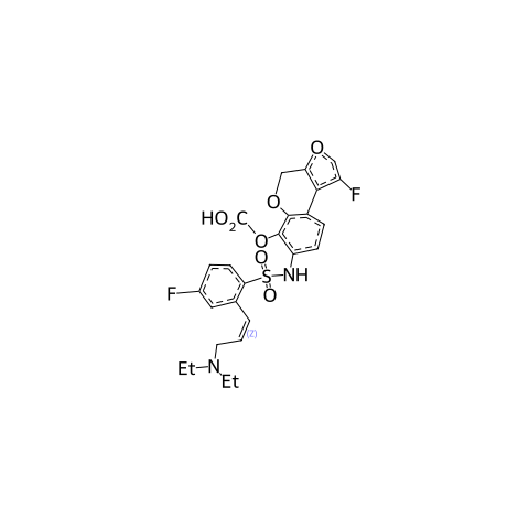 CCN(CC)C/C=C\c1cc(F)ccc1S(=O)(=O)Nc1ccc2c(c1OC(=O)O)OCc1occ(F)c1-2